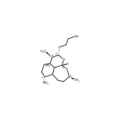 C[C@H]1[C@H](OCCO)O[C@@H]2O[C@@H](C)CCC3C2[C@H]1CC[C@H]3N